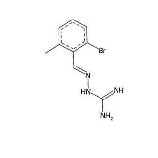 Cc1cccc(Br)c1/C=N/NC(=N)N